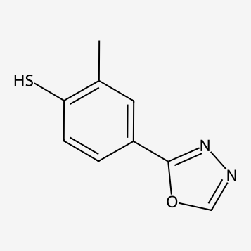 Cc1cc(-c2nnco2)ccc1S